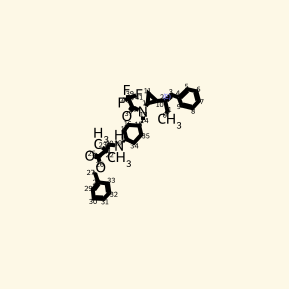 CC/C(=C\c1ccccc1)C1CC1N(C[C@H]1CC[C@H](NCC(C)(C)C(=O)OCc2ccccc2)CC1)C(=O)C(F)(F)F